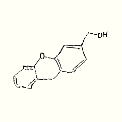 OCc1ccc2c(c1)Oc1ccccc1C2